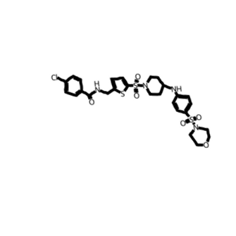 O=C(NCc1ccc(S(=O)(=O)N2CCC(Nc3ccc(S(=O)(=O)N4CCOCC4)cc3)CC2)s1)c1ccc(Cl)cc1